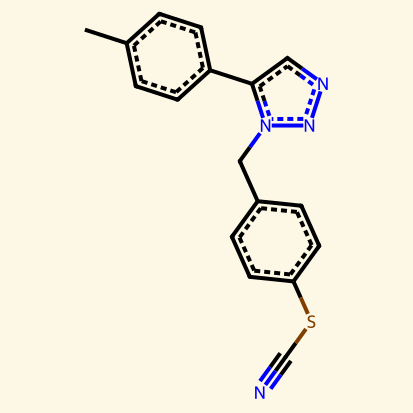 Cc1ccc(-c2cnnn2Cc2ccc(SC#N)cc2)cc1